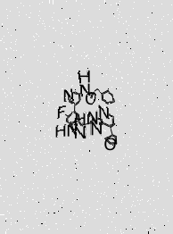 O=C(Cc1ccccc1)Nc1cncc(-c2cc3c(-c4nc5c(-c6ccoc6)ccnc5[nH]4)n[nH]c3cc2F)c1